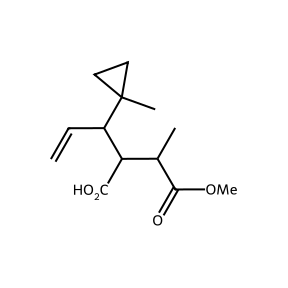 C=CC(C(C(=O)O)C(C)C(=O)OC)C1(C)CC1